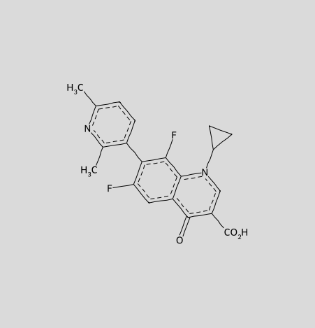 Cc1ccc(-c2c(F)cc3c(=O)c(C(=O)O)cn(C4CC4)c3c2F)c(C)n1